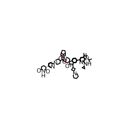 CC(C)n1cnc2cc(-c3ccc4c(c3)N(C3CC(N5CCCCC5)C3)C(=O)C43CCN(C(=O)C4C5CCC4CN(C(=O)C4CCN(c6ccc([C@H]7CCC(=O)NC7=O)cn6)CC4)C5)CC3)nc(NC3CC3)c21